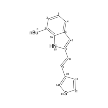 CCCCc1cccc2cc(C=Cc3ccsc3)[nH]c12